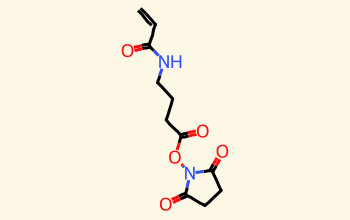 C=CC(=O)NCCCC(=O)ON1C(=O)CCC1=O